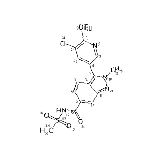 CC(C)COc1ncc(-c2c3ccc(C(=O)NS(C)(=O)=O)cc3nn2C)cc1Cl